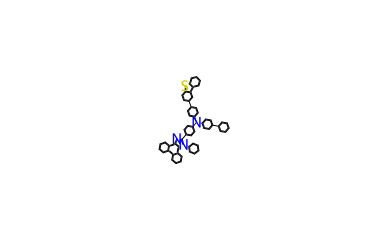 c1ccc(-c2ccc(N(c3ccc(-c4ccc5sc6ccccc6c5c4)cc3)c3ccc(-c4nc5c6ccccc6c6ccccc6c5n4-c4ccccc4)cc3)cc2)cc1